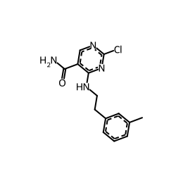 Cc1cccc(CCNc2nc(Cl)ncc2C(N)=O)c1